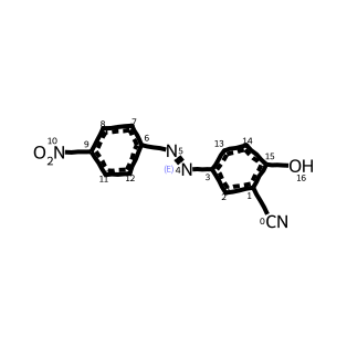 N#Cc1cc(/N=N/c2ccc([N+](=O)[O-])cc2)ccc1O